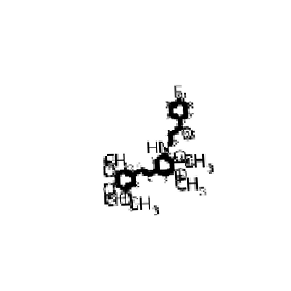 COc1cc(C=Cc2cc(OC)c(OC)c(OC)c2)cc(NC=CC(=O)c2ccc(F)cc2)c1OC